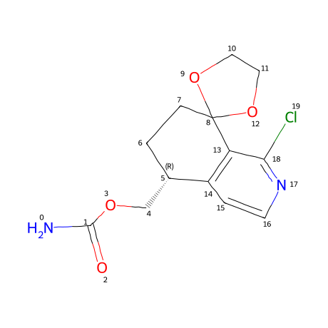 NC(=O)OC[C@@H]1CCC2(OCCO2)c2c1ccnc2Cl